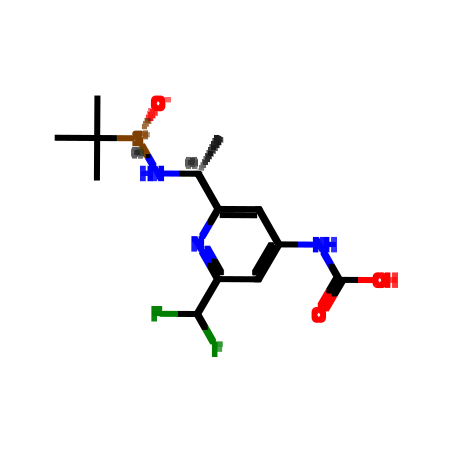 C[C@@H](N[S@@+]([O-])C(C)(C)C)c1cc(NC(=O)O)cc(C(F)F)n1